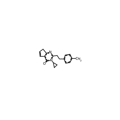 Cc1ccc(CCc2nc3c(c(=O)n2C2CC2)C=CC3)cc1